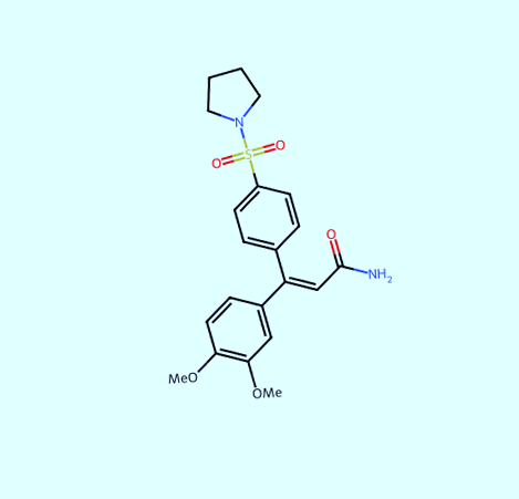 COc1ccc(C(=CC(N)=O)c2ccc(S(=O)(=O)N3CCCC3)cc2)cc1OC